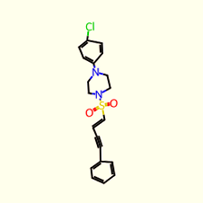 O=S(=O)(C=CC#Cc1ccccc1)N1CCN(c2ccc(Cl)cc2)CC1